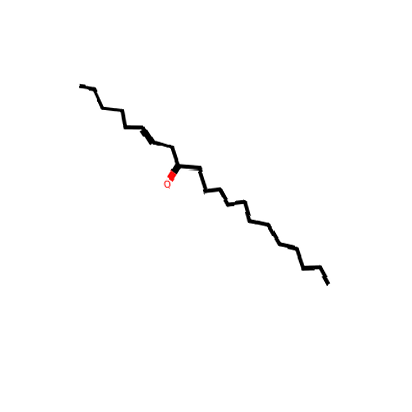 CCCCCC=CCC(=O)CCCCCCCCCCCC